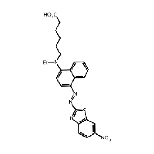 CCN(CCCCCC(=O)O)c1ccc(N=Nc2nc3ccc([N+](=O)[O-])cc3s2)c2ccccc12